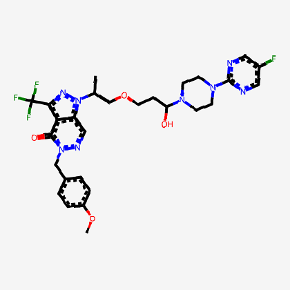 COc1ccc(Cn2ncc3c(c(C(F)(F)F)nn3C(C)COCCC(O)N3CCN(c4ncc(F)cn4)CC3)c2=O)cc1